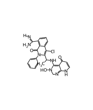 [H]/N=C(\N)c1cccc2c(Cl)c(C(C)NC3=c4c(=O)cc[nH]c4=NCN3O)n(-c3ccccc3)c(=O)c12